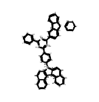 C1=CC([C@H]2c3ccccc3-c3cc(-c4nc(-c5ccccc5)nc(-c5ccc(-n6c7ccc8ccccc8c7c7c8ccccc8ccc76)cc5)n4)ccc32)=CCC1